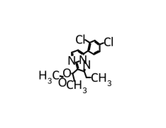 CCc1nn2c(-c3ccc(Cl)cc3Cl)ccnc2c1C(CC)OC(C)=O